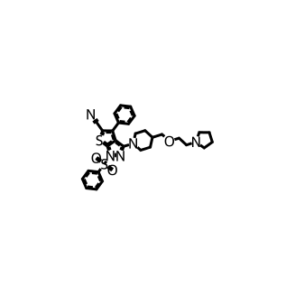 N#Cc1sc2c(c(N3CCC(COCCN4CCCC4)CC3)nn2S(=O)(=O)c2ccccc2)c1-c1ccccc1